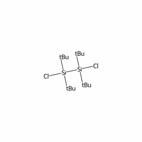 CC(C)(C)[Si](Cl)(C(C)(C)C)[Si](Cl)(C(C)(C)C)C(C)(C)C